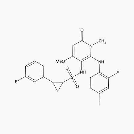 COc1cc(=O)n(C)c(Nc2ccc(I)cc2F)c1NS(=O)(=O)C1CC1c1cccc(F)c1